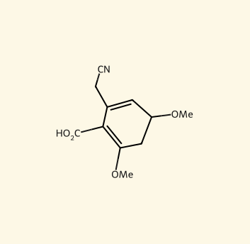 COC1=C(C(=O)O)C(CC#N)=CC(OC)C1